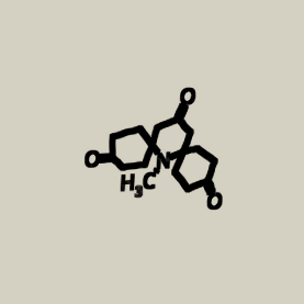 CN1C2(CCC(=O)CC2)CC(=O)CC12CCC(=O)CC2